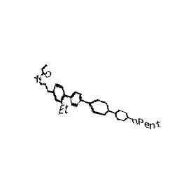 C=CC(=O)N(C)CCCc1ccc(-c2ccc(C3CCC(C4CCC(CCCCC)CC4)CC3)cc2)c(CC)c1